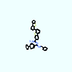 N/C(=N\C(=N/Cc1ccccc1)c1ccc(-c2ccccc2)cc1)c1ccc2c(c1)sc1c(-c3cccc4c3sc3ccccc34)cccc12